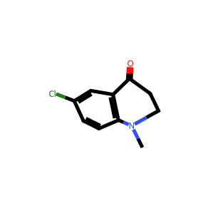 CN1CCC(=O)c2cc(Cl)ccc21